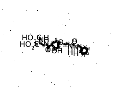 O=C(O)NC(CNC(=O)c1ccc(OCCNC(=O)NCc2ccccc2)cc1O)C(=O)O